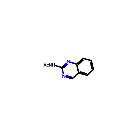 CC(=O)Nc1ncc2ccccc2n1